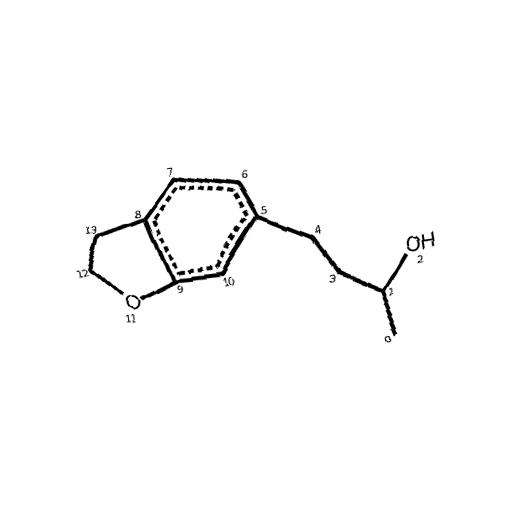 CC(O)CCc1ccc2c(c1)OCC2